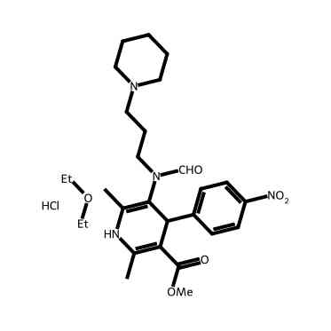 CCOCC.COC(=O)C1=C(C)NC(C)=C(N(C=O)CCCN2CCCCC2)C1c1ccc([N+](=O)[O-])cc1.Cl